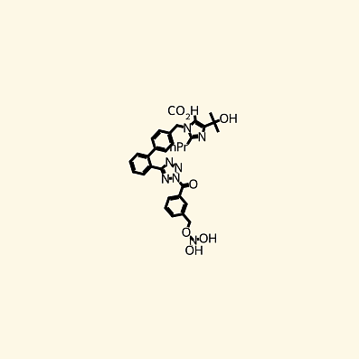 CCCc1nc(C(C)(C)O)c(C(=O)O)n1Cc1ccc(-c2ccccc2-c2nnn(C(=O)c3cccc(CON(O)O)c3)n2)cc1